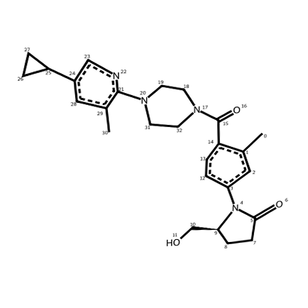 Cc1cc(N2C(=O)CC[C@H]2CO)ccc1C(=O)N1CCN(c2ncc(C3CC3)cc2C)CC1